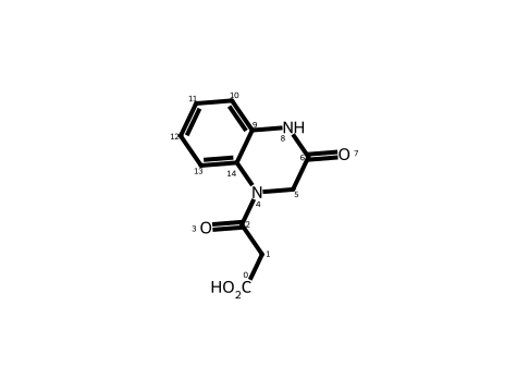 O=C(O)CC(=O)N1CC(=O)Nc2ccccc21